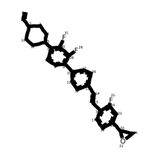 C=CC1CCC(c2ccc(-c3ccc(/C=C/c4ccc(C5CO5)cc4F)cc3)c(F)c2F)CC1